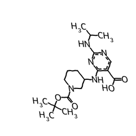 CC(C)Nc1ncc(C(=O)O)c(NC2CCCN(C(=O)OC(C)(C)C)C2)n1